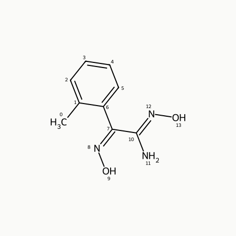 Cc1ccccc1C(=NO)C(N)=NO